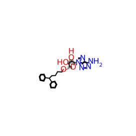 Nc1ncnc2c1ncn2[C@@H]1O[C@H](COCCCCC(c2ccccc2)c2ccccc2)[C@@H](O)[C@H]1O